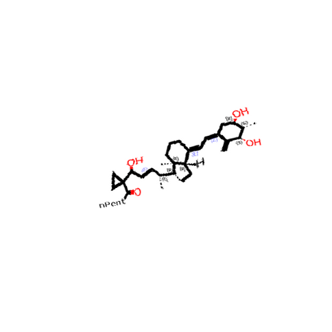 C=C1/C(=C\C=C2/CCC[C@]3(C)[C@@H]([C@H](C)/C=C/C(O)C4(C(=O)CCCCC)CC4)CC[C@@H]23)C[C@@H](O)[C@H](C)[C@@H]1O